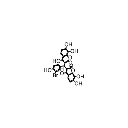 O=c1oc2c(O)c(O)ccc2c(O)c1C(c1ccc(O)c(Br)c1)c1c(O)c2ccc(O)c(O)c2oc1=O